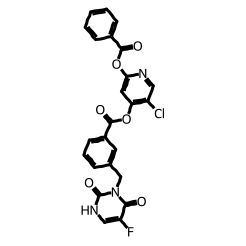 O=C(Oc1cc(OC(=O)c2cccc(Cn3c(=O)[nH]cc(F)c3=O)c2)c(Cl)cn1)c1ccccc1